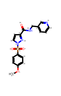 COc1ccc(S(=O)(=O)n2ccc(C(=O)NCc3cccnc3)n2)cc1